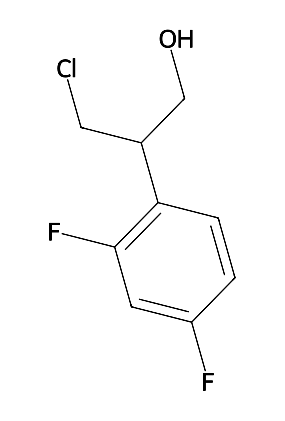 OCC(CCl)c1ccc(F)cc1F